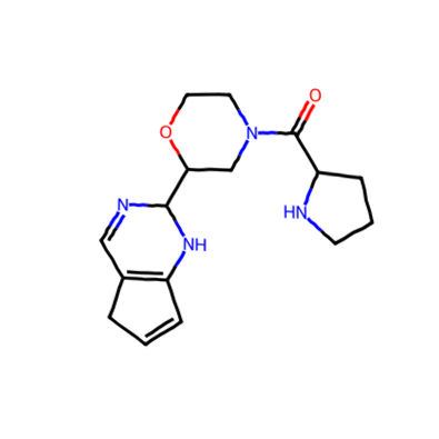 O=C(C1CCCN1)N1CCOC(C2N=CC3=C(C=CC3)N2)C1